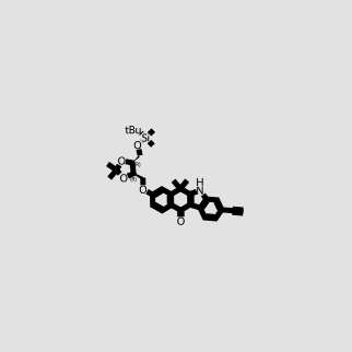 C#Cc1ccc2c3c([nH]c2c1)C(C)(C)c1cc(OC[C@H]2OC(C)(C)O[C@@H]2CO[Si](C)(C)C(C)(C)C)ccc1C3=O